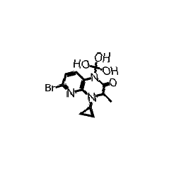 CC1C(=O)N(C(O)(O)O)c2ccc(Br)nc2N1C1CC1